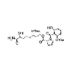 CCCCCCC(CCCCCC(O)C(N)=O)OC(=O)C1CC=CN1C(=O)c1c(O)cccc1OC